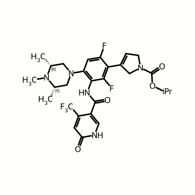 CC(C)OC(=O)N1CC=C(c2c(F)cc(N3C[C@@H](C)N(C)[C@@H](C)C3)c(NC(=O)c3c[nH]c(=O)cc3C(F)(F)F)c2F)C1